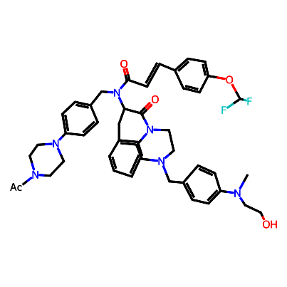 CC(=O)N1CCN(c2ccc(CN(C(=O)C=Cc3ccc(OC(F)F)cc3)C(Cc3ccccc3)C(=O)N3CCN(Cc4ccc(N(C)CCO)cc4)CC3)cc2)CC1